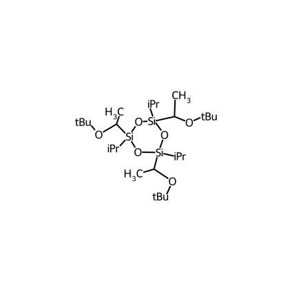 CC(C)[Si]1(C(C)OC(C)(C)C)O[Si](C(C)C)(C(C)OC(C)(C)C)O[Si](C(C)C)(C(C)OC(C)(C)C)O1